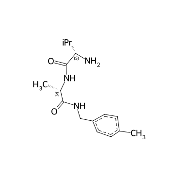 Cc1ccc(CNC(=O)[C@H](C)NC(=O)[C@@H](N)C(C)C)cc1